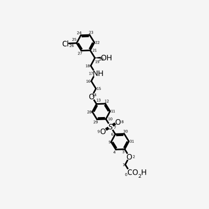 O=C(O)COc1ccc(S(=O)(=O)c2ccc(OCCNC[C@H](O)c3cccc(Cl)c3)cc2)cc1